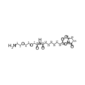 NCCOCCOCC(=O)NC(=O)CCCCCCC(=O)ON1C(=O)CCC1=O